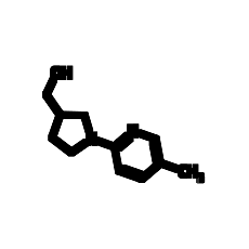 Cc1ccc(N2CCC(CO)C2)nc1